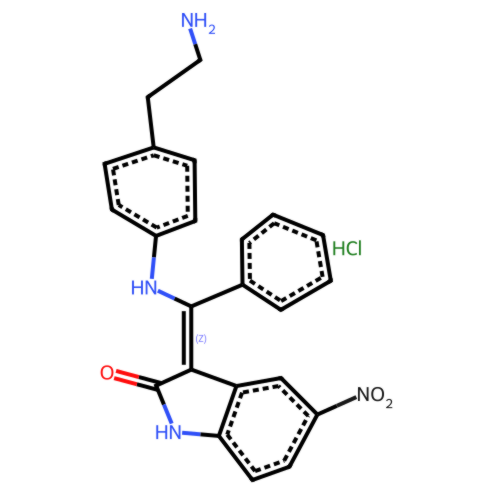 Cl.NCCc1ccc(N/C(=C2\C(=O)Nc3ccc([N+](=O)[O-])cc32)c2ccccc2)cc1